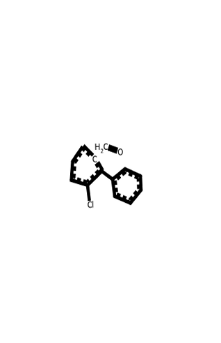 C=O.Clc1ccccc1-c1ccccc1